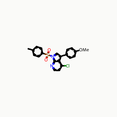 COc1ccc(-c2cn(S(=O)(=O)c3ccc(C)cc3)c3nccc(Cl)c23)cc1